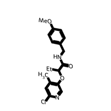 CCC(Oc1cnc(Cl)cc1C)C(=O)NCc1ccc(OC)cc1